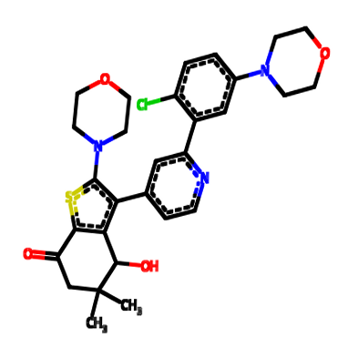 CC1(C)CC(=O)c2sc(N3CCOCC3)c(-c3ccnc(-c4cc(N5CCOCC5)ccc4Cl)c3)c2C1O